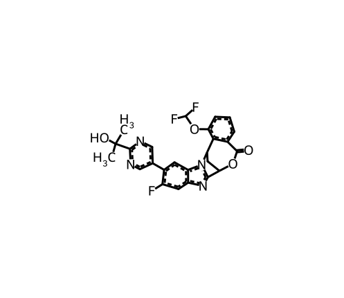 CC(C)(O)c1ncc(-c2cc3c(cc2F)nc2n3C3CC2OC(=O)c2cccc(OC(F)F)c23)cn1